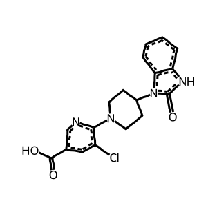 O=C(O)c1cnc(N2CCC(n3c(=O)[nH]c4ccccc43)CC2)c(Cl)c1